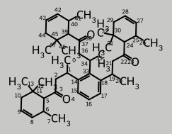 CC(CC(=O)C1C(C)C=CCC1(C)C)c1cccc(C(C)CC(=O)C2C(C)C=CCC2(C)C)c1C(C)CC(=O)C1C(C)C=CCC1(C)C